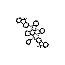 CC1(C)c2ccccc2-c2ccc(N(c3ccccc3)c3c4c(c(N(c5ccccc5)c5ccc6c(c5)C(C)(C)c5ccccc5-6)c5ccccc35)Oc3ccccc3O4)cc21